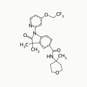 CC1(NC(=O)c2ccc3c(c2)C(C)(C)C(=O)N3c2cc(OCC(F)(F)F)ccn2)CCOCC1